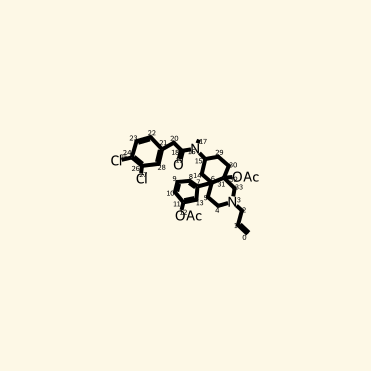 C=CCN1CCC2(c3cccc(OC(C)=O)c3)CC(N(C)C(=O)Cc3ccc(Cl)c(Cl)c3)CCC2(OC(C)=O)C1